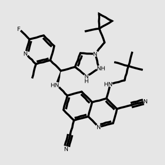 Cc1nc(F)ccc1[C@H](Nc1cc(C#N)c2ncc(C#N)c(NCC(C)(C)C)c2c1)C1=CN(CC2(C)CC2)NN1